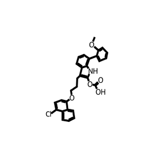 COc1ccccc1-c1cccc2c(CCCOc3ccc(Cl)c4ccccc34)c(OC(=O)O)[nH]c12